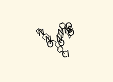 CS(=O)(=O)N(CC1CC1)c1ccccc1N1CCN(C(=O)C(CC(=O)N2CCC(N3CCCC3)CC2)Cc2ccc(Cl)cc2)CC1